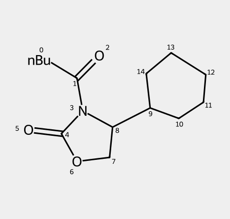 CCCCC(=O)N1C(=O)OCC1C1CCCCC1